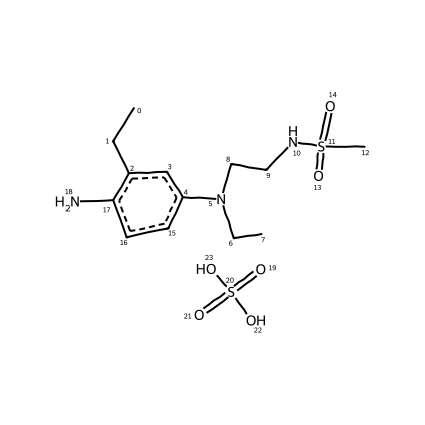 CCc1cc(N(CC)CCNS(C)(=O)=O)ccc1N.O=S(=O)(O)O